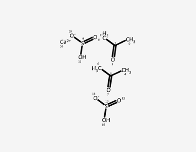 CC(C)=O.CC(C)=O.O=S([O-])O.O=S([O-])O.[Ca+2]